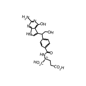 Nc1nc(O)c2c(C(CO)c3ccc(C(=O)N[C@@H](CCC(=O)O)C(=O)O)cc3)c[nH]c2n1